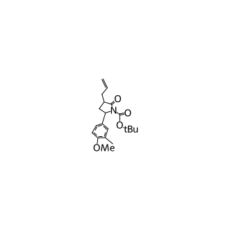 C=CCC1CC(c2ccc(OC)c(C)c2)N(C(=O)OC(C)(C)C)C1=O